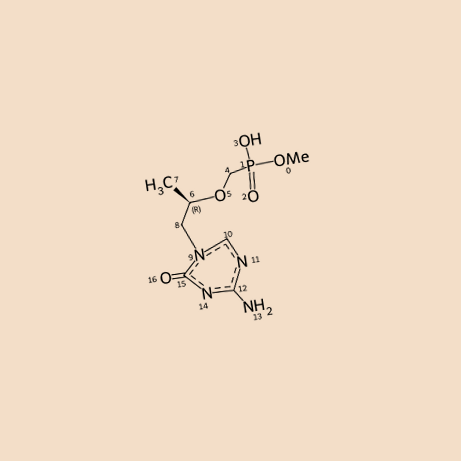 COP(=O)(O)CO[C@H](C)Cn1cnc(N)nc1=O